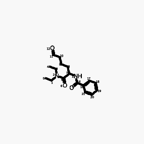 CCN(CC)C(=O)C(CCCC=O)NC(=O)c1ccccc1